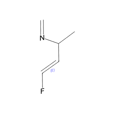 C=NC(C)/C=C/F